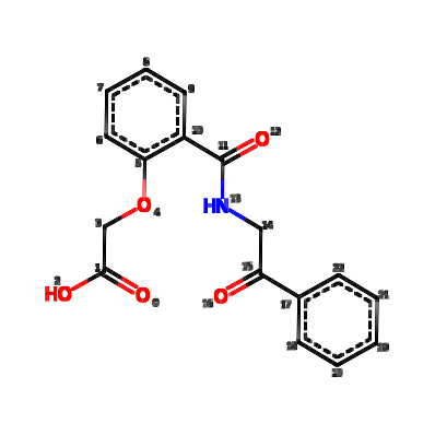 O=C(O)COc1ccccc1C(=O)NCC(=O)c1ccccc1